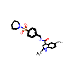 Cc1ccc2nc(C)cc(C(=O)NCc3ccc(S(=O)(=O)N4CCCCC4)cc3)c2c1